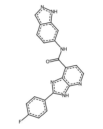 O=C(Nc1ccc2cn[nH]c2c1)c1ccnc2[nH]c(-c3ccc(F)cc3)nc12